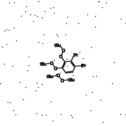 CC(C)(C)OOC(C)(C)C.CC(C)c1ccc(OOC(C)(C)C)c(OOC(C)(C)C)c1C(C)C